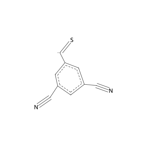 N#Cc1cc([C]=S)cc(C#N)c1